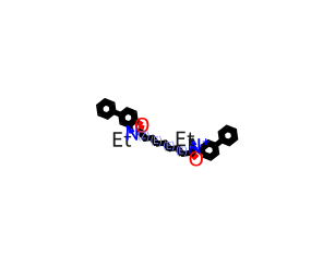 CCN1/C(=C/C=C/C=C/C=C/c2oc3ccc(-c4ccccc4)cc3[n+]2CC)Oc2ccc(-c3ccccc3)cc21